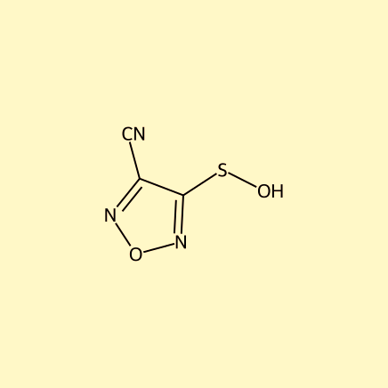 N#Cc1nonc1SO